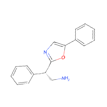 NC[C@H](c1ccccc1)c1ncc(-c2ccccc2)o1